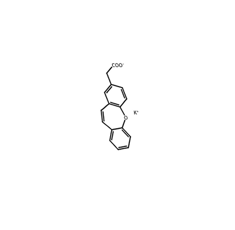 O=C([O-])Cc1ccc2c(c1)C=Cc1ccccc1O2.[K+]